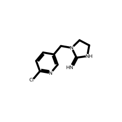 N=C1NCCN1Cc1ccc(Cl)nc1